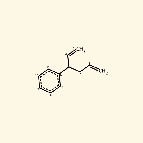 C=CC[C](C=C)c1ccccc1